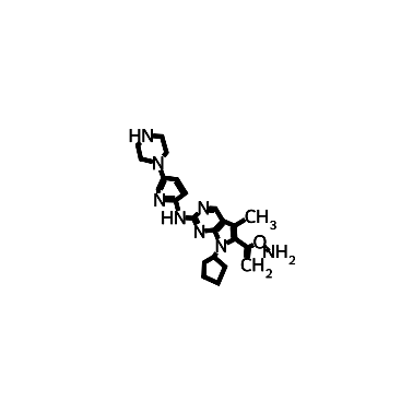 C=C(ON)c1c(C)c2cnc(Nc3ccc(N4CCNCC4)cn3)nc2n1C1CCCC1